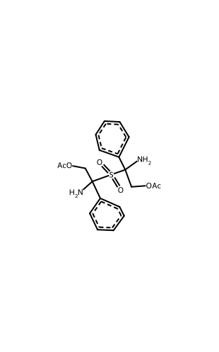 CC(=O)OCC(N)(c1ccccc1)S(=O)(=O)C(N)(COC(C)=O)c1ccccc1